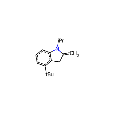 C=C1Cc2c(cccc2C(C)(C)C)N1C(C)C